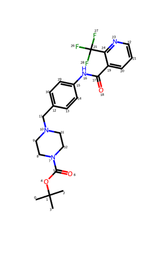 CC(C)(C)OC(=O)N1CCN(Cc2ccc(NC(=O)c3cccnc3C(F)(F)F)cc2)CC1